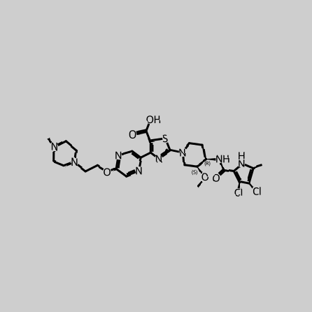 CO[C@H]1CN(c2nc(-c3cnc(OCCN4CCN(C)CC4)cn3)c(C(=O)O)s2)CC[C@H]1NC(=O)c1[nH]c(C)c(Cl)c1Cl